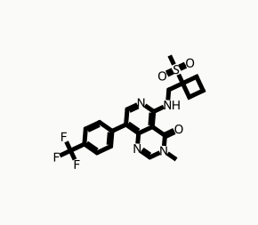 Cn1cnc2c(-c3ccc(C(F)(F)F)cc3)cnc(NCC3(S(C)(=O)=O)CCC3)c2c1=O